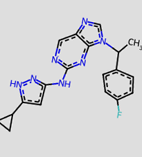 CC(c1ccc(F)cc1)n1cnc2cnc(Nc3cc(C4CC4)[nH]n3)nc21